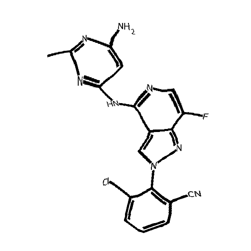 Cc1nc(N)cc(Nc2ncc(F)c3nn(-c4c(Cl)cccc4C#N)cc23)n1